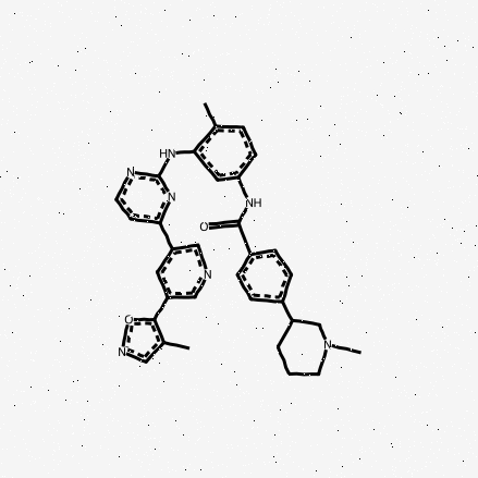 Cc1ccc(NC(=O)c2ccc(C3CCCN(C)C3)cc2)cc1Nc1nccc(-c2cncc(-c3oncc3C)c2)n1